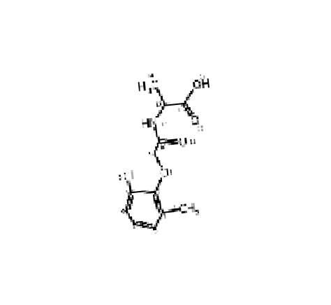 Cc1cccc(Cl)c1OCC(=O)NC(C)C(=O)O